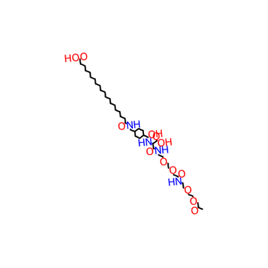 CC(=O)COCCOCCNC(=O)COCCOCCNC(=O)C(NC(O)C1CCC(CNC(=O)CCCCCCCCCCCCCCCCCCC(=O)O)CC1)C(=O)O